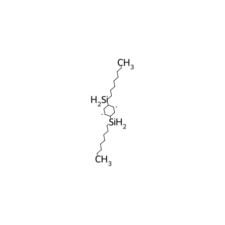 CCCCCCCC[SiH2]C1[CH]CC([SiH2]CCCCCCCC)[CH]C1